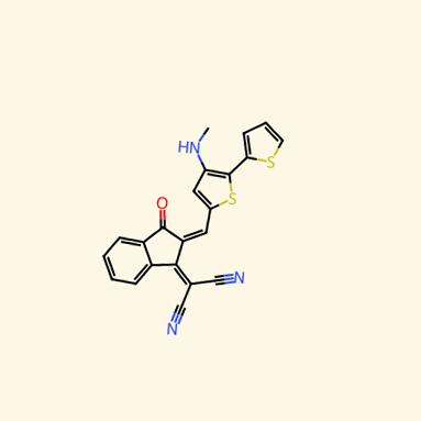 CNc1cc(/C=C2\C(=O)c3ccccc3C2=C(C#N)C#N)sc1-c1cccs1